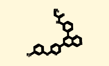 C=CC(=O)Nc1cccc(-c2cc(-c3ccc(Oc4cccc(C(F)(F)F)c4)nc3)cc3cncnc23)c1